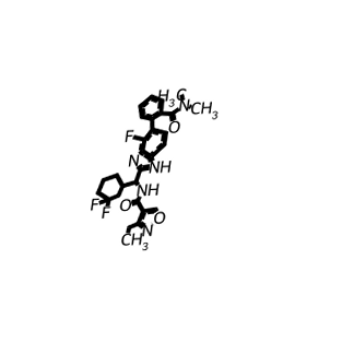 CCc1nocc1C(=O)NC(c1nc2c(F)c(-c3ccccc3C(=O)N(C)C)ccc2[nH]1)C1CCCC(F)(F)C1